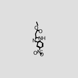 CCOC(=O)Cc1nc2cc([N+](=O)[O-])ccc2[nH]1